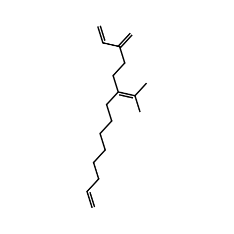 C=CCCCCCCC(CCC(=C)C=C)=C(C)C